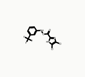 O=C(ONc1cccc(C(F)(F)F)c1)c1nc(Cl)c(Cl)[nH]1